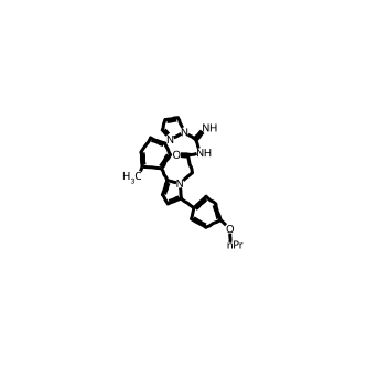 CCCOc1ccc(-c2ccc(-c3ccccc3C)n2CC(=O)NC(=N)n2cccn2)cc1